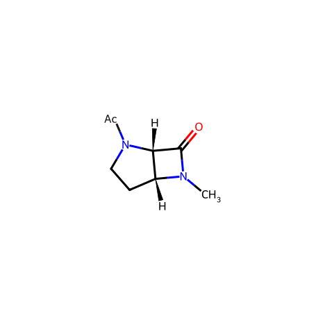 CC(=O)N1CC[C@@H]2[C@H]1C(=O)N2C